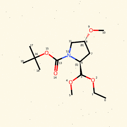 CCOC(OC)[C@@H]1C[C@@H](OC)CN1C(=O)OC(C)(C)C